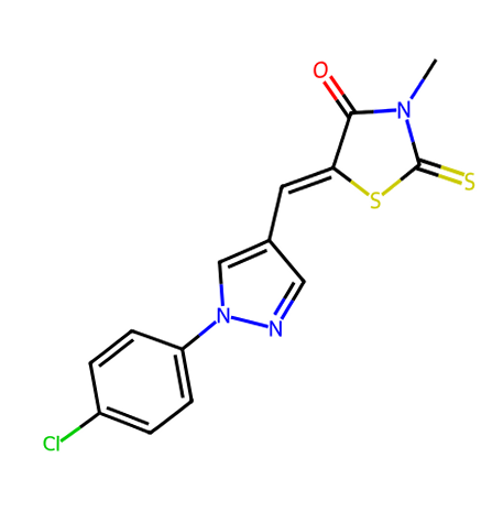 CN1C(=O)C(=Cc2cnn(-c3ccc(Cl)cc3)c2)SC1=S